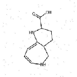 O=C(O)C1CCC2CNC=CC=C2N1